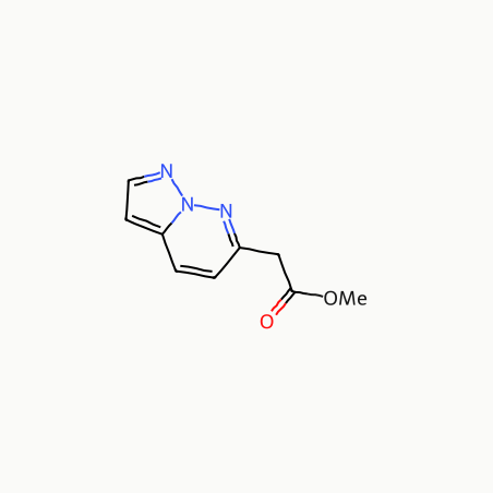 COC(=O)Cc1ccc2ccnn2n1